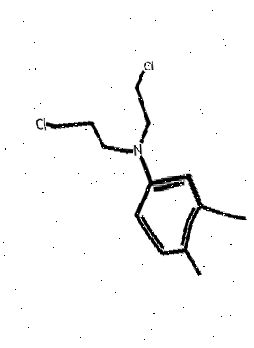 Cc1ccc(N(CCCl)CCCl)cc1C